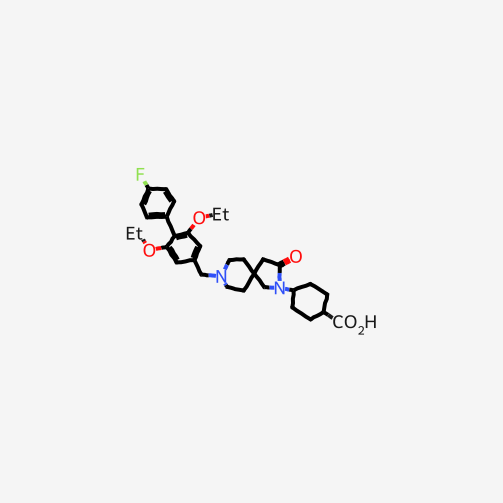 CCOc1cc(CN2CCC3(CC2)CC(=O)N(C2CCC(C(=O)O)CC2)C3)cc(OCC)c1-c1ccc(F)cc1